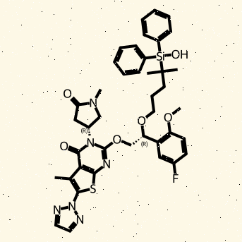 COc1ccc(F)cc1[C@H](COc1nc2sc(-n3nccn3)c(C)c2c(=O)n1[C@@H]1CC(=O)N(C)C1)OCCCC(C)(C)[Si](O)(c1ccccc1)c1ccccc1